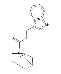 O=C(CCc1c[nH]c2ccccc12)N1C2CC3CC(C2)CC1C3